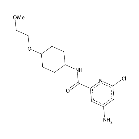 COCCOC1CCC(NC(=O)c2cc(N)cc(Cl)n2)CC1